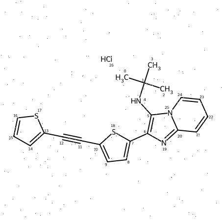 CC(C)(C)Nc1c(-c2ccc(C#Cc3cccs3)s2)nc2ccccn12.Cl